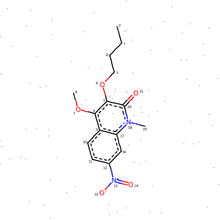 CCCCOc1c(OC)c2ccc([N+](=O)[O-])cc2n(C)c1=O